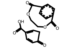 O=C1C=CC(C(=O)O)=CC1.O=C1OCCOC(=O)c2ccc1cc2